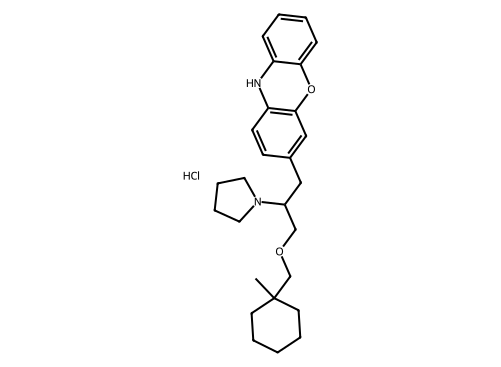 CC1(COCC(Cc2ccc3c(c2)Oc2ccccc2N3)N2CCCC2)CCCCC1.Cl